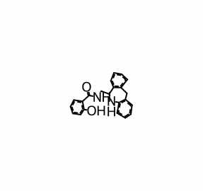 O=C(NCC1Nc2ccccc2Cc2ccccc21)c1ccccc1O